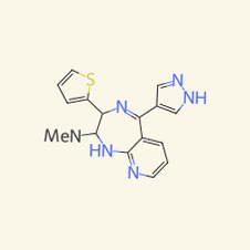 CNC1Nc2ncccc2C(c2cn[nH]c2)=NC1c1cccs1